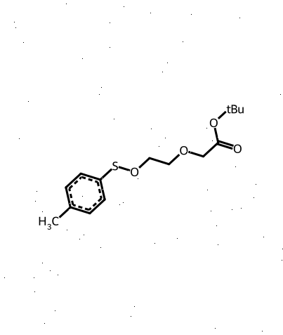 Cc1ccc(SOCCOCC(=O)OC(C)(C)C)cc1